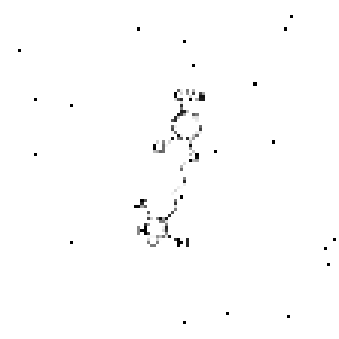 CCc1noc(CC)c1CCCCOc1ccc(OC)cc1Cl